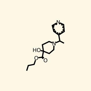 CCCOC(=O)C1(O)CCN(C(C)c2ccncc2)CC1